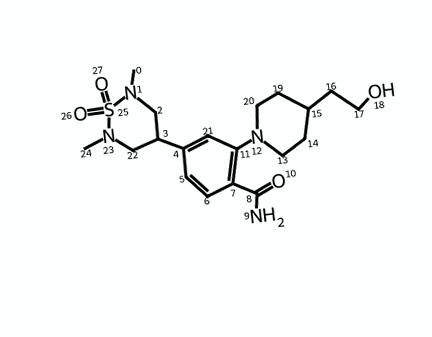 CN1CC(c2ccc(C(N)=O)c(N3CCC(CCO)CC3)c2)CN(C)S1(=O)=O